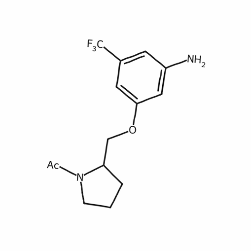 CC(=O)N1CCCC1COc1cc(N)cc(C(F)(F)F)c1